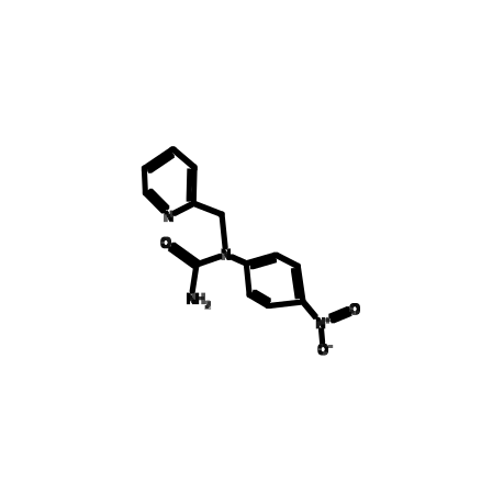 NC(=O)N(Cc1ccccn1)c1ccc([N+](=O)[O-])cc1